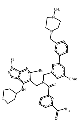 CCc1nc2c(cnn2CC)c(NC2CCOCC2)c1CN(Cc1cc(OC)cc(-c2cccc(CN3CCN(C)CC3)c2)c1)C(=O)c1cccc(C(N)=O)c1